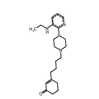 CCNc1cccnc1N1CCN(CCCCC2=CC(=O)CCC2)CC1